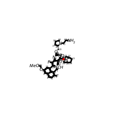 C#Cc1c(F)ccc2cc(OCOC)cc(-c3ncc4c(N5CC6CCC(C5)N6C(=O)OC(C)(C)C)nc(OC[C@@H]5CCCN5CCN)nc4c3F)c12